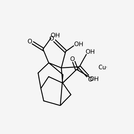 O=C(O)C12CC3CC(C1)CC(C(=O)O)(C3)C2(C(=O)O)C(=O)O.[Cu]